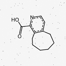 O=C(O)c1nccc2c1CCCCCC2